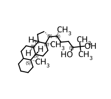 C[C@H](CC[C@H](O)C(C)(C)O)[C@H]1CC[C@H]2[C@@H]3CCC4CCCC[C@]4(C)[C@H]3CC[C@]12C